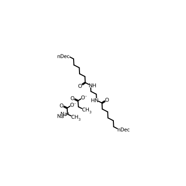 CCC(=O)[O-].CCC(=O)[O-].CCCCCCCCCCCCCCCC(=O)NCCNC(=O)CCCCCCCCCCCCCCC.[Na+].[Na+]